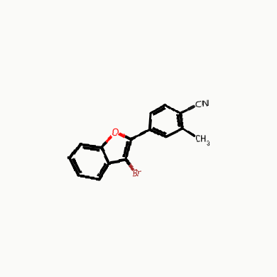 Cc1cc(-c2oc3ccccc3c2Br)ccc1C#N